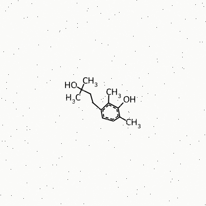 Cc1ccc(CCC(C)(C)O)c(C)c1O